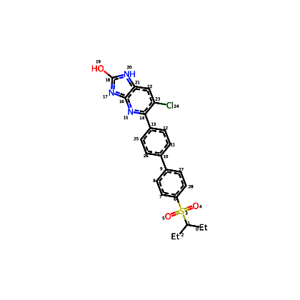 CCC(CC)S(=O)(=O)c1ccc(-c2ccc(-c3nc4nc(O)[nH]c4cc3Cl)cc2)cc1